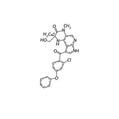 CN1C(=O)[C@@](C)(CO)Nc2c1cnc1[nH]cc(C(=O)c3ccc(Oc4ccccc4)cc3Cl)c21